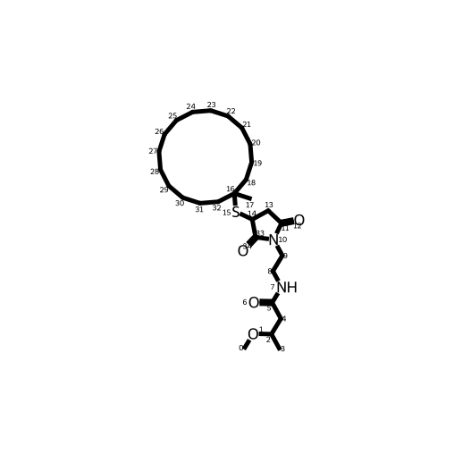 COC(C)CC(=O)NCCN1C(=O)CC(SC2(C)CCCCCCCCCCCCCCC2)C1=O